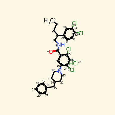 CCCC(CNC(=O)c1cc(N2CCC(Cc3ccccc3)CC2)c(Cl)cc1Cl)c1ccc(Cl)c(Cl)c1.Cl